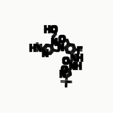 CNc1cc2c(cn1)CN(c1cc(NC(=O)Nc3cc(C(C)(C)C)no3)c(F)cc1C)C(=O)N2CCO